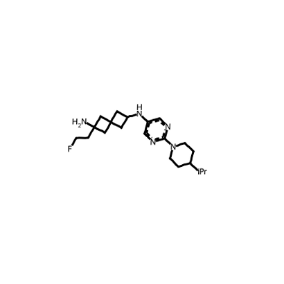 CC(C)C1CCN(c2ncc(NC3CC4(C3)CC(N)(CCF)C4)cn2)CC1